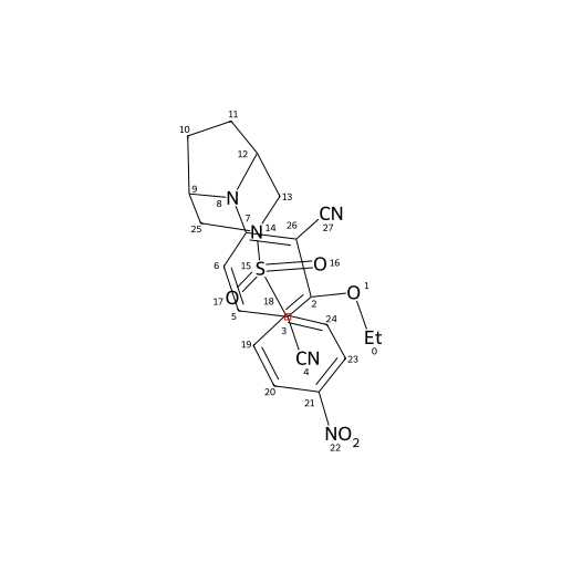 CCOc1c(C#N)ccc(N2C3CCC2CN(S(=O)(=O)c2ccc([N+](=O)[O-])cc2)C3)c1C#N